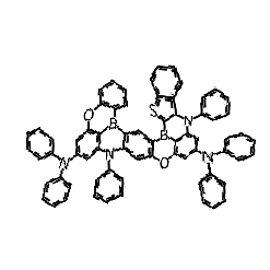 c1ccc(N(c2ccccc2)c2cc3c4c(c2)N(c2ccccc2)c2cc5c(cc2B4c2ccccc2O3)B2c3sc4ccccc4c3N(c3ccccc3)c3cc(N(c4ccccc4)c4ccccc4)cc(c32)O5)cc1